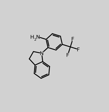 Nc1ccc(C(F)(F)F)cc1N1CCc2ccccc21